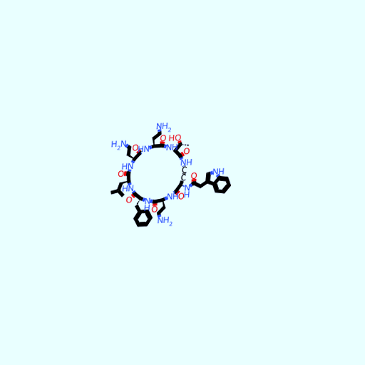 CC(C)C[C@@H]1NC(=O)[C@@H](Cc2ccccc2)NC(=O)[C@H](CCN)NC(=O)[C@@H](NC(=O)Cc2c[nH]c3ccccc23)CCNC(=O)[C@H]([C@@H](C)O)NC(=O)[C@H](CCN)NC(=O)[C@H](CCN)NC1=O